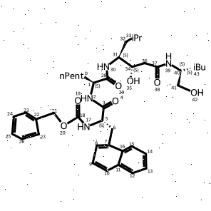 CCCCC[C@H](NC(=O)[C@H](Cc1cccc2ccccc12)NC(=O)OCc1ccccc1)C(=O)N[C@@H](CC(C)C)[C@@H](O)CC(=O)N[C@H](CO)[C@@H](C)CC